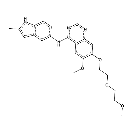 COCCOCCOc1cc2ncnc(Nc3ccc4[nH]c(C)cc4c3)c2cc1OC